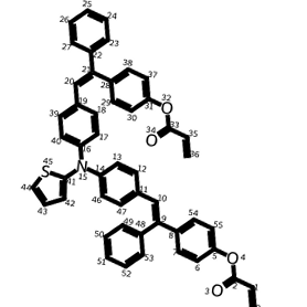 C=CC(=O)Oc1ccc(C(=Cc2ccc(N(c3ccc(C=C(c4ccccc4)c4ccc(OC(=O)C=C)cc4)cc3)c3cccs3)cc2)c2ccccc2)cc1